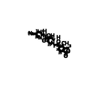 Cc1c([C@H](O)CN2CCC(O)(C(=O)Nc3ccc(C#N)cn3)CC2)ccc2c1COC2=O